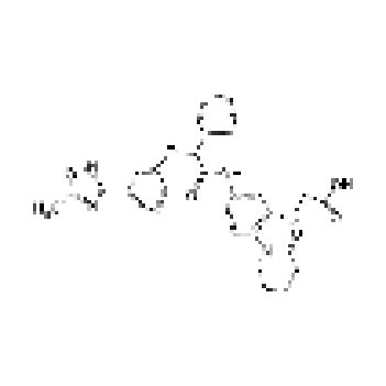 Cc1nc(-c2cccc(OC(C(=O)Nc3ccc(N4CCCCC4=O)c(OCC(=O)O)c3)c3ccccc3)c2)no1